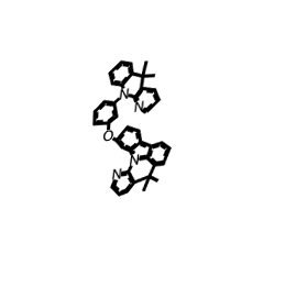 CC1(C)c2ccccc2N(c2cccc(Oc3ccc4c5cccc6c5n(c4c3)-c3ncccc3C6(C)C)c2)c2ncccc21